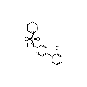 Cc1nc(NS(=O)(=O)N2CCCCC2)ccc1-c1ccccc1Cl